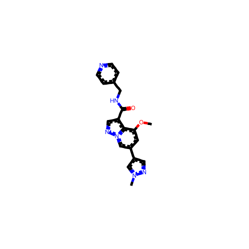 COc1cc(-c2cnn(C)c2)cn2ncc(C(=O)NCc3ccncc3)c12